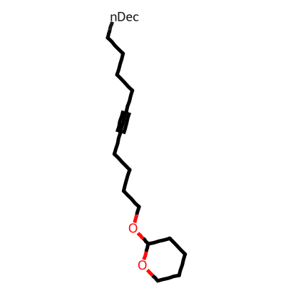 CCCCCCCCCCCCCCC#CCCCCOC1CCCCO1